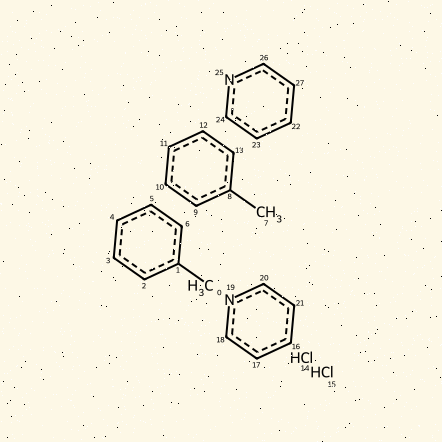 Cc1ccccc1.Cc1ccccc1.Cl.Cl.c1ccncc1.c1ccncc1